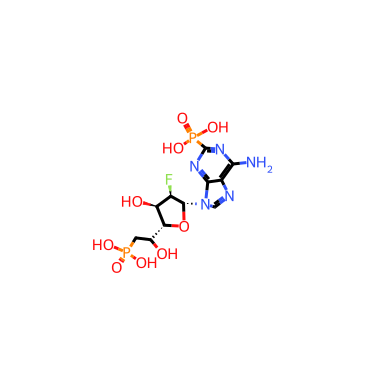 Nc1nc(P(=O)(O)O)nc2c1ncn2[C@@H]1O[C@H](C(O)CP(=O)(O)O)[C@@H](O)[C@H]1F